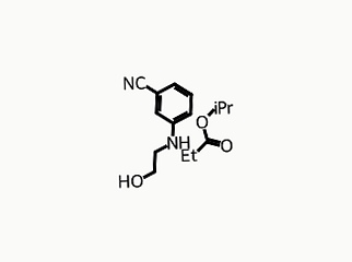 CCC(=O)OC(C)C.N#Cc1cccc(NCCO)c1